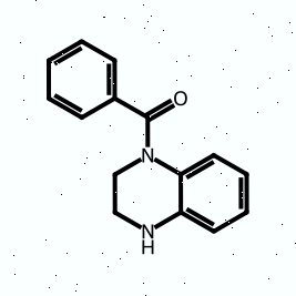 O=C(c1ccccc1)N1CCNc2ccccc21